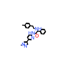 Cc1ccc(CCNC(C(=O)Nc2ccc(-c3cnn(C)c3)cn2)c2ccccc2)cc1